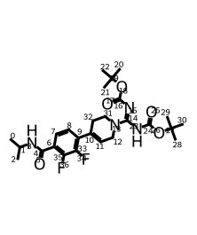 CC(C)NC(=O)c1ccc(C2=CCN(/C(=N\C(=O)OC(C)(C)C)NC(=O)OC(C)(C)C)CC2)c(F)c1F